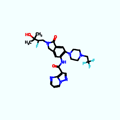 CC(C)(O)C(F)CN1Cc2cc(NC(=O)c3cnn4cccnc34)c(N3CCN(CC(F)(F)F)CC3)cc2C1=O